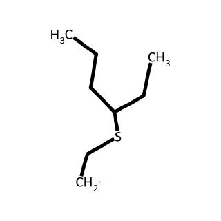 [CH2]CSC(CC)CCC